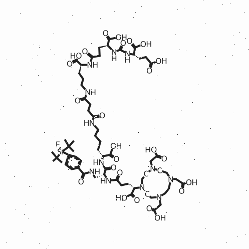 CC(C)(C)[Si](F)(c1ccc(C(=O)NC[C@@H](NC(=O)CC[C@@H](C(=O)O)N2CCN(CC(=O)O)CCN(CC(=O)O)CCN(CC(=O)O)CC2)C(=O)N[C@H](CCCCNC(=O)CCC(=O)NCCC[C@H](NC(=O)CC[C@H](NC(=O)N[C@@H](CCC(=O)O)C(=O)O)C(=O)O)C(=O)O)C(=O)O)cc1)C(C)(C)C